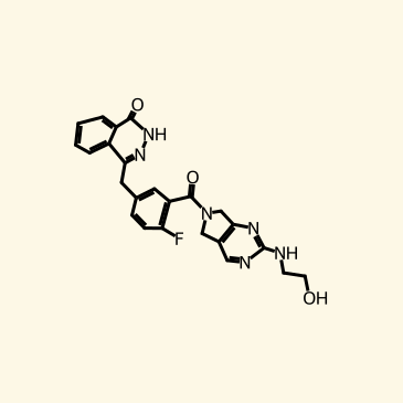 O=C(c1cc(Cc2n[nH]c(=O)c3ccccc23)ccc1F)N1Cc2cnc(NCCO)nc2C1